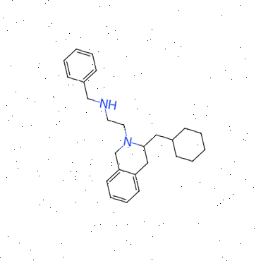 c1ccc(CNCCN2Cc3ccccc3CC2CC2CCCCC2)cc1